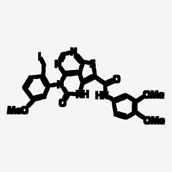 COc1ccc(CI)c(N2C(=O)Nc3c(C(=O)Nc4ccc(OC)c(OC)c4)sc4ncnc2c34)c1